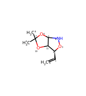 C=C[C@@H]1ONC2OC(C)(C)OC21